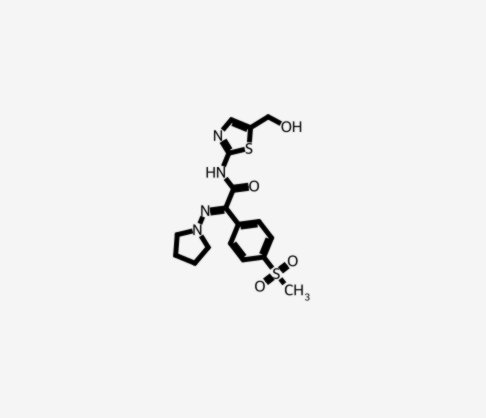 CS(=O)(=O)c1ccc(/C(=N\N2CCCC2)C(=O)Nc2ncc(CO)s2)cc1